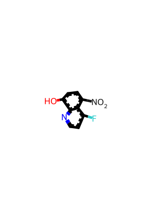 O=[N+]([O-])c1ccc(O)c2nccc(F)c12